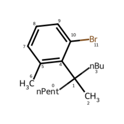 CCCCCC(C)(CCCC)c1c(C)cccc1Br